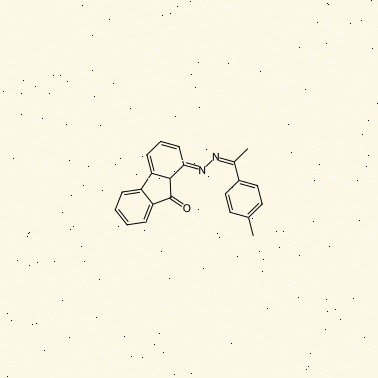 CC(=NN=C1C=CC=C2c3ccccc3C(=O)C21)c1ccc(C)cc1